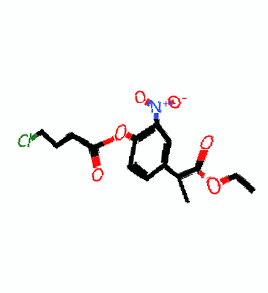 CCOC(=O)C(C)c1ccc(OC(=O)CCCCl)c([N+](=O)[O-])c1